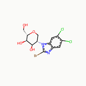 OC[C@@H]1OC[C@H](n2c(Br)nc3cc(Cl)c(Cl)cc32)[C@@H](O)[C@H]1O